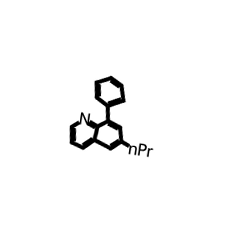 CCCc1cc(-c2ccccc2)c2ncccc2c1